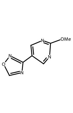 COc1ncc(-c2ncon2)cn1